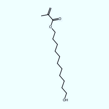 C=C(C)C(=O)OCCCCCCCCCCCO